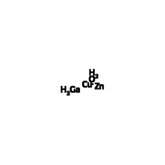 O.[Cu].[GaH3].[Zn]